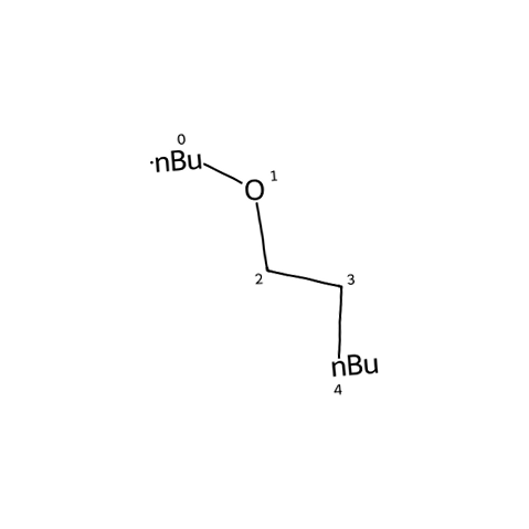 CCC[CH]OCCCCCC